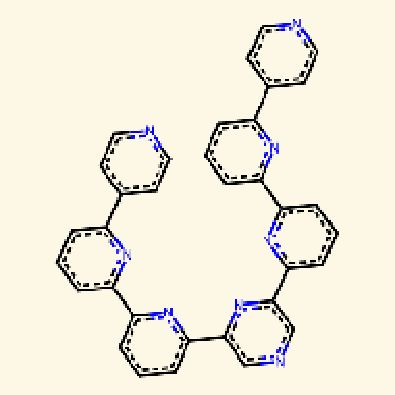 c1cc(-c2ccncc2)nc(-c2cccc(-c3cncc(-c4cccc(-c5cccc(-c6ccncc6)n5)n4)n3)n2)c1